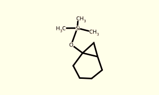 C[Si](C)(C)OC12CCCCC1C2